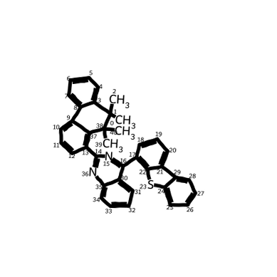 CC1(C)c2ccccc2-c2cccc(-c3nc(-c4cccc5c4sc4ccccc45)c4ccccc4n3)c2C1(C)C